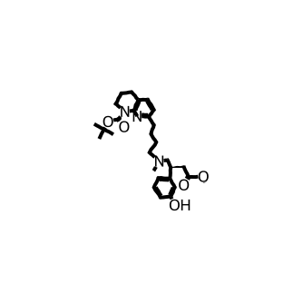 COC(=O)C[C@H](CN(C)CCCCc1ccc2c(n1)N(C(=O)OC(C)(C)C)CCC2)c1cccc(O)c1